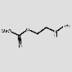 CCCCNCCOC(=O)OC